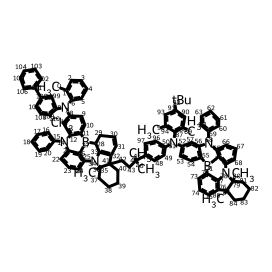 Cc1ccccc1N(c1ccc2c(c1)N(c1ccccc1)c1cccc3c1B2C1CC=CC2=C1N3C1(C)CCCCC21CCC(C)(C)c1ccc(N(c2ccc3c(c2)N(c2ccccc2)c2cccc4c2B3c2cccc3c2N4C2(C)CCCCC32C)c2c(C)cc(C(C)(C)C)cc2C)cc1)c1cc(-c2ccccc2)ccc1C